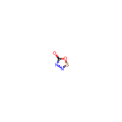 O=c1nnso1